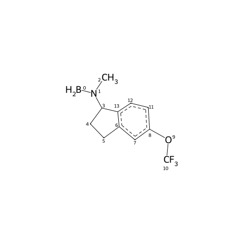 BN(C)C1CCc2cc(OC(F)(F)F)ccc21